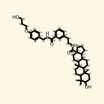 CC1(C)C(O)CCC2(C)C1CCC1(C)C3CCC4(C(=O)NCCc5cccc(C(=O)NCc6ccc(OCCCO)cc6)c5)CCCC4C3CCC12